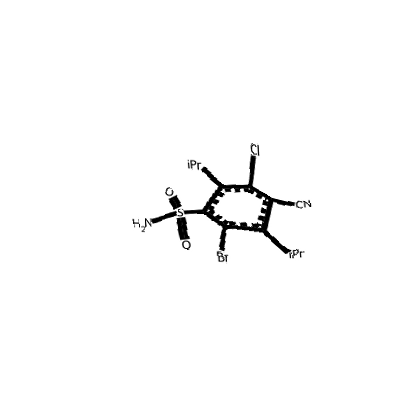 CC(C)c1c(Br)c(S(N)(=O)=O)c(C(C)C)c(Cl)c1C#N